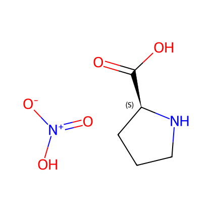 O=C(O)[C@@H]1CCCN1.O=[N+]([O-])O